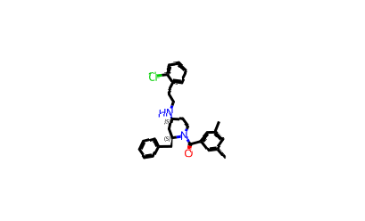 Cc1cc(C)cc(C(=O)N2CC[C@H](NCCc3ccccc3Cl)C[C@@H]2Cc2ccccc2)c1